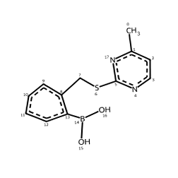 Cc1ccnc(SCc2ccccc2B(O)O)n1